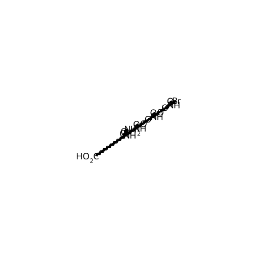 NC(=O)C(CCCCNC(=O)CCOCCOCCNC(=O)CCOCCOCCNC(=O)CBr)NC(=O)CCCCCCCCCCCCCCCCC(=O)O